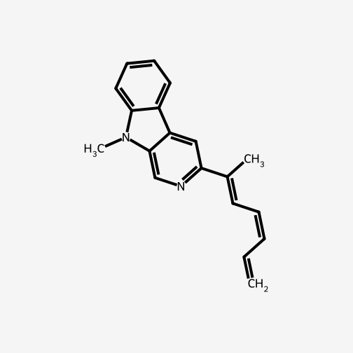 C=C/C=C\C=C(/C)c1cc2c3ccccc3n(C)c2cn1